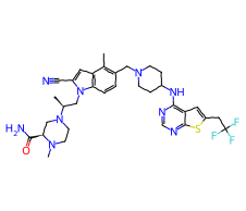 Cc1c(CN2CCC(Nc3ncnc4sc(CC(F)(F)F)cc34)CC2)ccc2c1cc(C#N)n2C[C@H](C)N1CCN(C)[C@@H](C(N)=O)C1